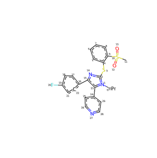 CCCn1c(Sc2ccccc2S(C)(=O)=O)nc(-c2ccc(F)cc2)c1-c1ccncc1